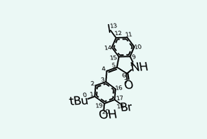 CC(C)(C)c1cc(C=C2C(=O)Nc3ccc(I)cc32)cc(Br)c1O